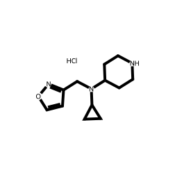 Cl.c1cc(CN(C2CCNCC2)C2CC2)no1